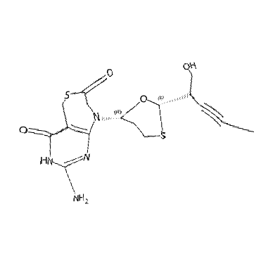 CC#CC(O)[C@H]1O[C@@H](n2c(=O)sc3c(=O)[nH]c(N)nc32)CS1